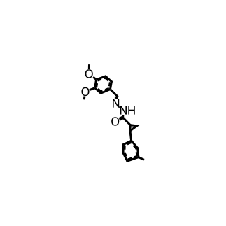 COc1ccc(/C=N/NC(=O)C2CC2c2cccc(C)c2)cc1OC